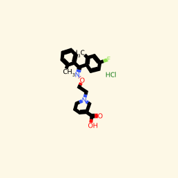 Cc1ccccc1C(=NOCCN1CCC=C(C(=O)O)C1)c1ccc(F)cc1C.Cl